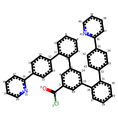 O=C(Cl)c1cc(-c2ccccc2-c2ccc(-c3ccccn3)cc2)cc(-c2ccccc2-c2ccc(-c3ccccn3)cc2)c1